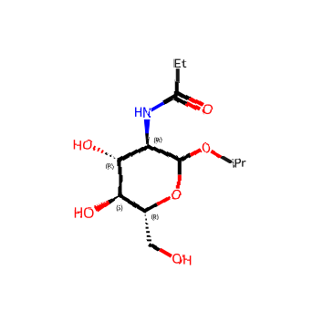 CCC(=O)N[C@H]1C(OC(C)C)O[C@H](CO)[C@@H](O)[C@@H]1O